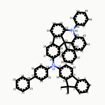 CC1(C)c2ccccc2-c2ccc(N(c3ccc(-c4ccccc4)cc3)c3ccc4c(c3)C3(c5ccccc5)c5ccccc5N(c5ccccc5)c5cccc-4c53)cc21